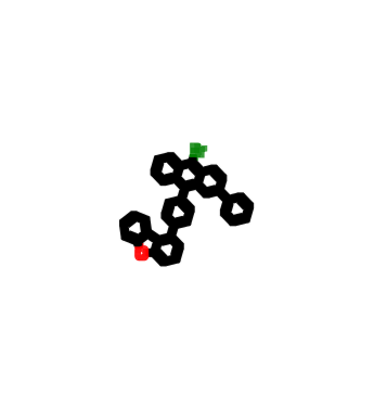 Brc1c2ccccc2c(-c2ccc(-c3cccc4oc5ccccc5c34)cc2)c2cc(-c3ccccc3)ccc12